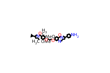 C=CC1CC(C2CC2)=CN1C(=O)c1cc(OC)c(OCCCOc2cc3c(cc2OC)C(=O)N2C=C(c4ccc(N)cc4)CC2C=N3)cc1C